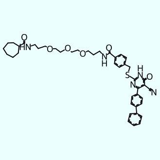 N#Cc1c(-c2ccc(-c3ccccc3)cc2)nc(SCc2ccc(C(=O)NCCCOCCOCCOCCCNC(=O)C3CCCCCC3)cc2)[nH]c1=O